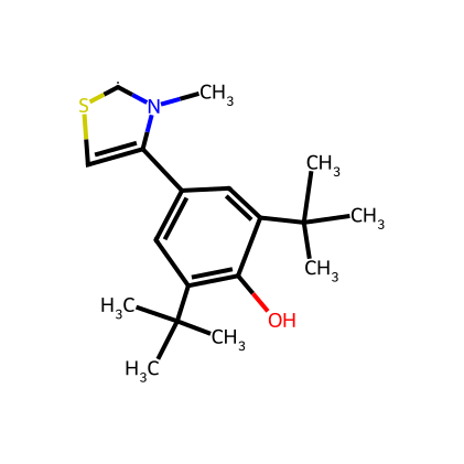 CN1[CH]SC=C1c1cc(C(C)(C)C)c(O)c(C(C)(C)C)c1